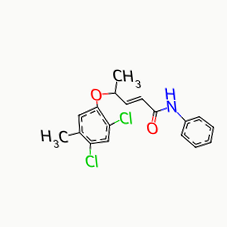 Cc1cc(OC(C)C=CC(=O)Nc2ccccc2)c(Cl)cc1Cl